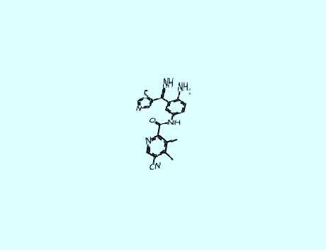 Cc1c(C#N)cnc(C(=O)Nc2ccc(N)c(C(=N)c3cncs3)c2)c1C